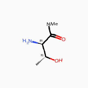 CNC(=O)[C@H](N)[C@@H](C)O